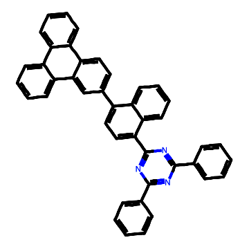 c1ccc(-c2nc(-c3ccccc3)nc(-c3ccc(-c4ccc5c6ccccc6c6ccccc6c5c4)c4ccccc34)n2)cc1